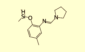 Cc1ccc(O[SiH](C)C)c(N=CN2CCCC2)c1